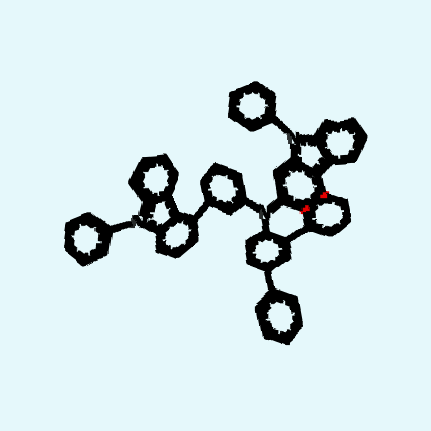 c1ccc(-c2ccc(N(c3cccc(-c4cccc5c4c4ccccc4n5-c4ccccc4)c3)c3ccc4c5ccccc5n(-c5ccccc5)c4c3)c(-c3ccccc3)c2)cc1